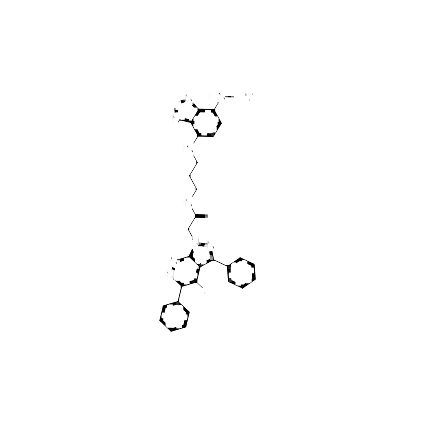 CONc1ccc(NCCCNC(=O)Cn2nc(-c3ccccc3)c3c(Cl)c(-c4ccccc4)nnc32)c2nonc12